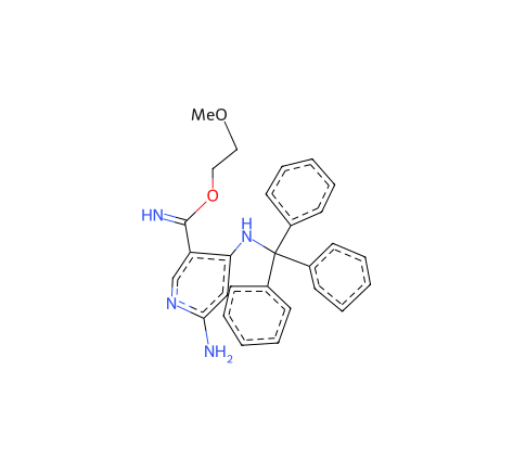 COCCOC(=N)c1cnc(N)cc1NC(c1ccccc1)(c1ccccc1)c1ccccc1